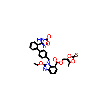 CCOc1nc2cccc(C(=O)OCc3oc(=S)oc3C)c2n1Cc1ccc(-c2ccccc2-c2noc(=O)[nH]2)cc1